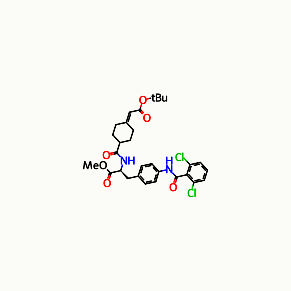 COC(=O)[C@H](Cc1ccc(NC(=O)c2c(Cl)cccc2Cl)cc1)NC(=O)C1CCC(=CC(=O)OC(C)(C)C)CC1